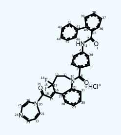 Cl.O=C(Nc1ccc(C(=O)N2CCC(F)(F)C(=CC(=O)N3C=CC=NC=C3)c3ccccc32)cc1)c1ccccc1-c1ccccc1